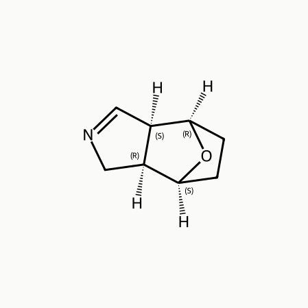 C1=NC[C@H]2[C@@H]1[C@H]1CC[C@@H]2O1